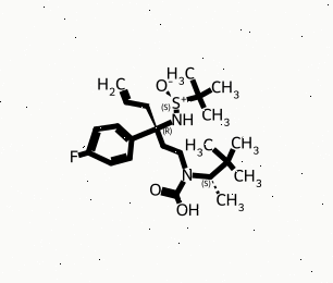 C=CC[C@](CCN(C(=O)O)[C@@H](C)C(C)(C)C)(N[S@+]([O-])C(C)(C)C)c1ccc(F)cc1